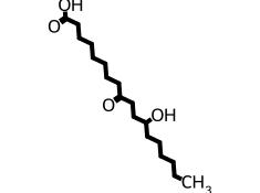 CCCCCCC(O)CCC(=O)CCCCCCCC(=O)O